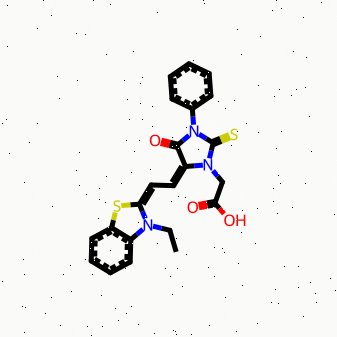 CCN1C(=CC=C2C(=O)N(c3ccccc3)C(=S)N2CC(=O)O)Sc2ccccc21